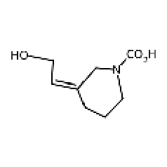 O=C(O)N1CCCC(=CCO)C1